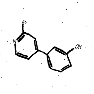 CC(C)c1cc(-c2cccc(O)c2)ccn1